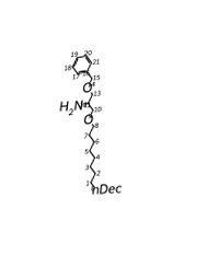 CCCCCCCCCCCCCCCCCCOCC(N)COCc1ccccc1